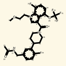 COCCn1cc(C(=O)N2CCC(c3cc(CNC(C)=O)ccc3F)CC2)c2c(OC(F)(F)F)ccc(F)c21